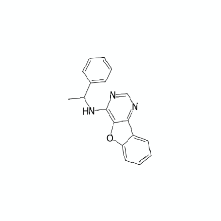 CC(Nc1ncnc2c1oc1ccccc12)c1ccccc1